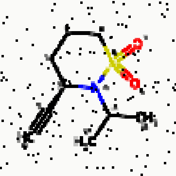 C#C[C@H]1CCCS(=O)(=O)N1C(C)C